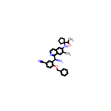 CC(=O)C1(Nc2cc3ccnc(C(N)c4cc(C#N)ccc4OCc4ccccc4)c3cc2C)CCCC1